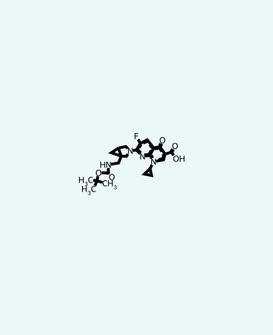 CC(C)(C)OC(=O)NCC12CC1CN(c1nc3c(cc1F)c(=O)c(C(=O)O)cn3C1CC1)C2